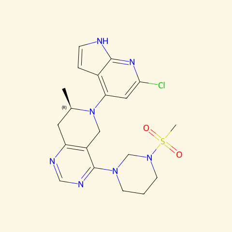 C[C@@H]1Cc2ncnc(N3CCCN(S(C)(=O)=O)C3)c2CN1c1cc(Cl)nc2[nH]ccc12